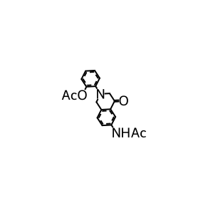 CC(=O)Nc1ccc2c(c1)C(=O)CN(c1ccccc1OC(C)=O)C2